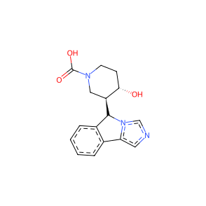 O=C(O)N1CC[C@H](O)[C@@H](C2c3ccccc3-c3cncn32)C1